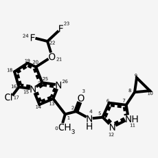 CC(C(=O)Nc1cc(C2CC2)[nH]n1)c1cn2c(Cl)ccc(OC(F)F)c2n1